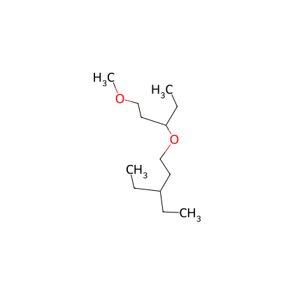 CCC(CC)CCOC(CC)CCOC